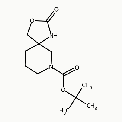 CC(C)(C)OC(=O)N1CCCC2(COC(=O)N2)C1